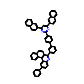 c1ccc(-c2ccc3nc(-c4cccc(-c5ccc(-c6nc(-c7ccc8ccccc8c7)cc(-c7ccc8ccccc8c7)n6)cc5)c4)c4ccc5ccccc5c4c3c2)cc1